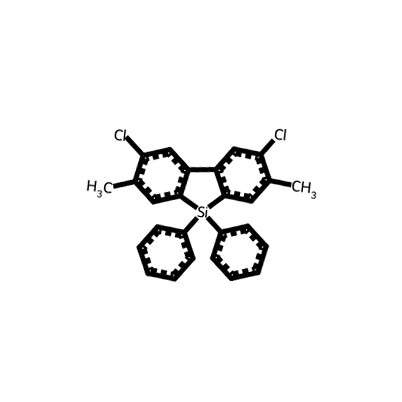 Cc1cc2c(cc1Cl)-c1cc(Cl)c(C)cc1[Si]2(c1ccccc1)c1ccccc1